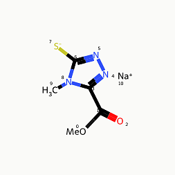 COC(=O)c1nnc([S-])n1C.[Na+]